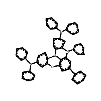 c1ccc(-c2cc3c4c(c2)N(c2ccccc2)c2cc(N(c5ccccc5)c5ccccc5)ccc2B4c2ccc(N(c4ccccc4)c4ccccc4)cc2O3)cc1